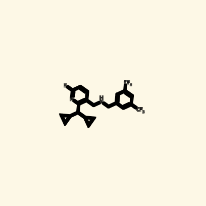 Fc1ccc(CNCc2cc(C(F)(F)F)cc(C(F)(F)F)c2)c(C(C2CC2)C2CC2)n1